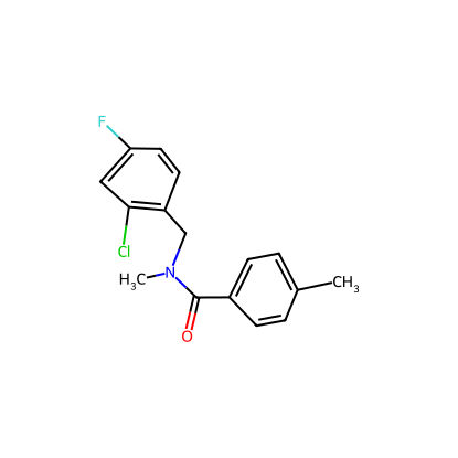 Cc1ccc(C(=O)N(C)Cc2ccc(F)cc2Cl)cc1